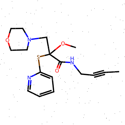 CC#CCNC(=O)C(CN1CCOCC1)(OC)Sc1ccccn1